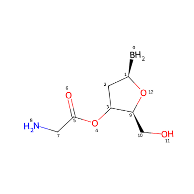 B[C@@H]1CC(OC(=O)CN)[C@H](CO)O1